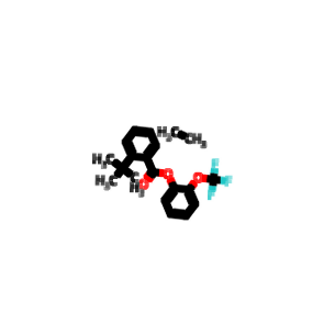 CC.CC(C)(C)c1ccccc1C(=O)Oc1ccccc1OC(F)(F)F